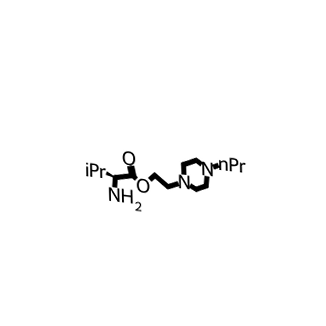 CCCN1CCN(CCOC(=O)[C@@H](N)C(C)C)CC1